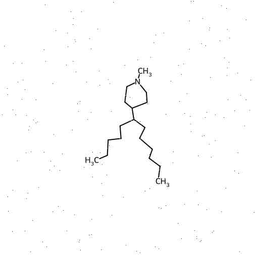 CCCCCCC(CCCCC)C1CCN(C)CC1